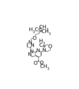 COC(=O)c1cc(N2CCOC[C@H]2C)nc2c1cnn2-c1ccn(COCC[Si](C)(C)C)n1